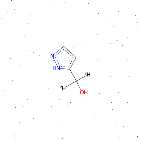 [2H]C([2H])(O)c1ccn[nH]1